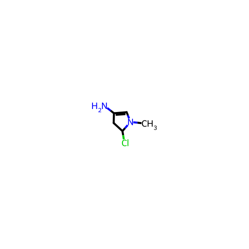 CN1C=C(N)CC1Cl